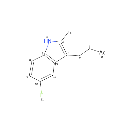 CC(=O)CCc1c(C)[nH]c2ccc(F)cc12